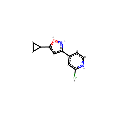 Brc1cc(-c2cc(C3CC3)on2)ccn1